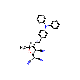 CC1(C)OC(=C(C#N)C#N)C(C#N)=C1/C=C/c1ccc(N(c2ccccc2)c2ccccc2)cc1